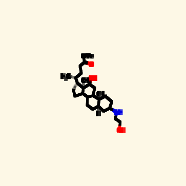 COC(=O)CC[C@@H](C)[C@H]1CCC2C3CC[C@@H]4C[C@H](NCCO)CC[C@]4(C)C3C[C@H](O)[C@@]21C